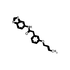 CC=CCOc1cccc(CC(=O)Nc2ccc3ncsc3c2)c1